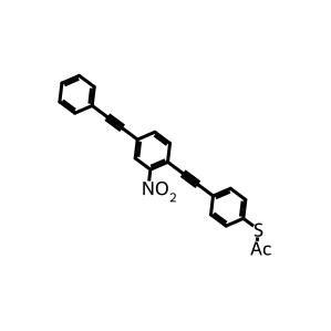 CC(=O)Sc1ccc(C#Cc2ccc(C#Cc3ccccc3)cc2[N+](=O)[O-])cc1